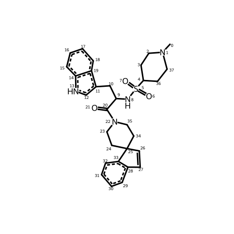 CN1CCC(S(=O)(=O)NC(Cc2c[nH]c3ccccc23)C(=O)N2CCC3(C=Cc4ccccc43)CC2)CC1